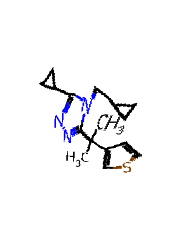 CC(C)(c1ccsc1)c1nnc(C2CC2)n1CC1CC1